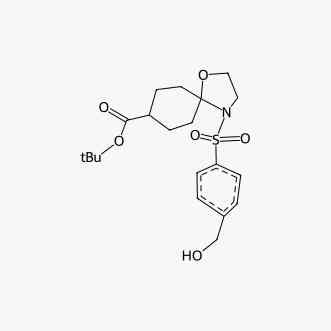 CC(C)(C)OC(=O)C1CCC2(CC1)OCCN2S(=O)(=O)c1ccc(CO)cc1